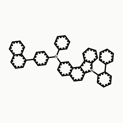 c1ccc(-c2ccccc2-n2c3ccccc3c3c4cc(N(c5ccccc5)c5ccc(-c6cccc7ccccc67)cc5)ccc4ccc32)cc1